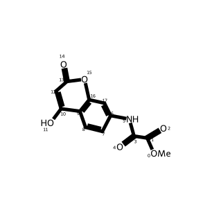 COC(=O)C(=O)Nc1ccc2c(O)cc(=O)oc2c1